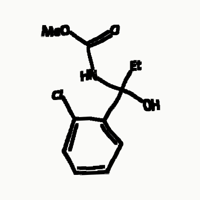 CCC(O)(NC(=O)OC)c1ccccc1Cl